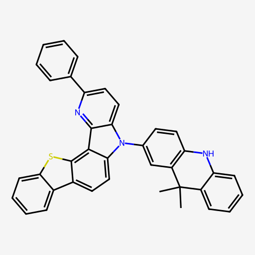 CC1(C)c2ccccc2Nc2ccc(-n3c4ccc(-c5ccccc5)nc4c4c5sc6ccccc6c5ccc43)cc21